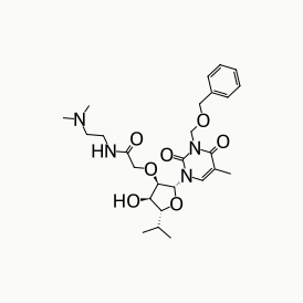 Cc1cn([C@@H]2O[C@H](C(C)C)[C@@H](O)[C@H]2OCC(=O)NCCN(C)C)c(=O)n(COCc2ccccc2)c1=O